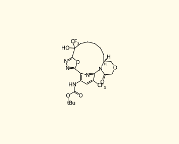 CC(C)(C)OC(=O)Nc1cc(C(F)(F)F)c2nc1-c1nnc(o1)C(O)(C(F)(F)F)CCCCC[C@@H]1COCC(=O)N21